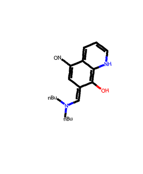 CCCCN(C=c1cc(N=O)c2c(c1O)NC=CC=2)CCCC